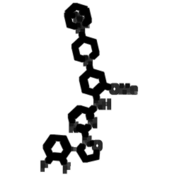 CCN1C2CC1CN(C1CCN(c3ccc(Nc4ccnc(N5OCC[C@@H]5c5cccc(F)c5F)n4)c(OC)c3)CC1)C2